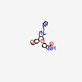 CC1C(COc2ccc3c(c2)C(=O)NC3)C(c2ccc3ccoc3c2)CCN1CCn1cccc1